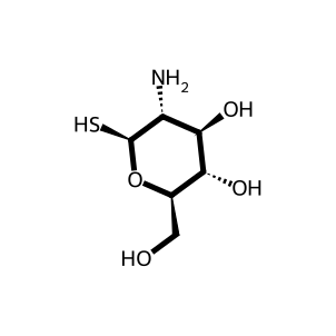 N[C@@H]1[C@@H](O)[C@H](O)[C@@H](CO)O[C@H]1S